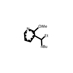 CCCCC(CC)c1cccnc1OC